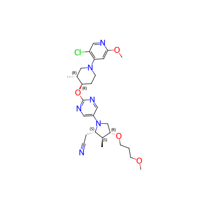 COCCCO[C@H]1CN(c2cnc(O[C@@H]3CCN(c4cc(OC)ncc4Cl)C[C@H]3C)nc2)[C@@H](CC#N)[C@@H]1C